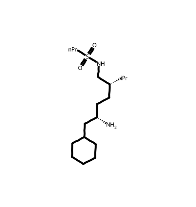 CCCS(=O)(=O)NC[C@@H](CC[C@H](N)CC1CCCCC1)C(C)C